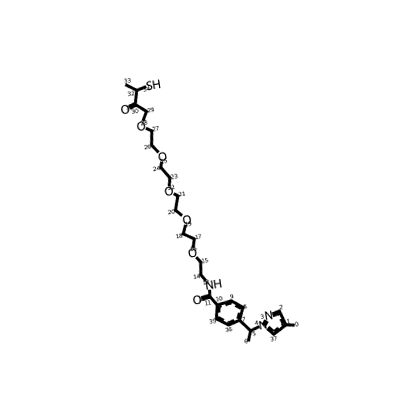 Cc1cnn(C(C)c2ccc(C(=O)NCCOCCOCCOCCOCCOCC(=O)C(C)S)cc2)c1